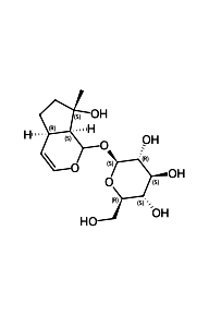 C[C@]1(O)CC[C@@H]2C=COC(O[C@@H]3O[C@H](CO)[C@@H](O)[C@H](O)[C@H]3O)[C@@H]21